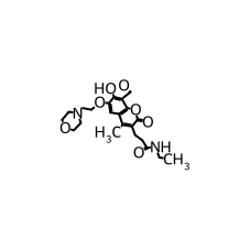 CCNC(=O)CCc1c(C)c2cc(OCCN3CCOCC3)c(O)c(C=O)c2oc1=O